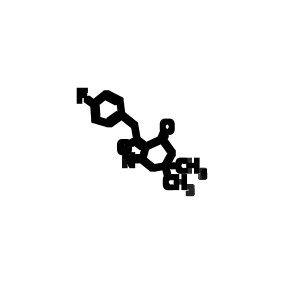 CC1(C)CC(=O)c2c(noc2Cc2ccc(F)cc2)C1